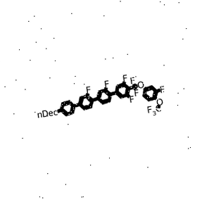 CCCCCCCCCCc1ccc(-c2ccc(-c3ccc(-c4cc(F)c(C(F)(F)Oc5ccc(OC(F)(F)F)c(F)c5)c(F)c4)c(F)c3)c(F)c2)cc1